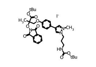 C[n+]1cc(-c2ccc(OCC(C)(ON3C(=O)c4ccccc4C3=O)C(=O)OC(C)(C)C)cc2)cn1CCCNC(=O)OC(C)(C)C.[I-]